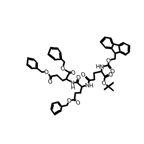 CC(C)(C)OC(=O)C(CCC(=O)NC(CCC(=O)OCc1ccccc1)C(=O)NC(CCC(=O)OCc1ccccc1)C(=O)OCc1ccccc1)NC(=O)OCC1c2ccccc2-c2ccccc21